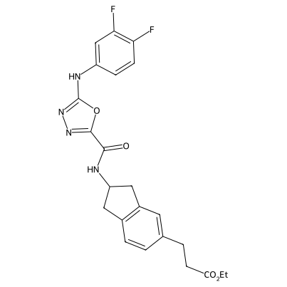 CCOC(=O)CCc1ccc2c(c1)CC(NC(=O)c1nnc(Nc3ccc(F)c(F)c3)o1)C2